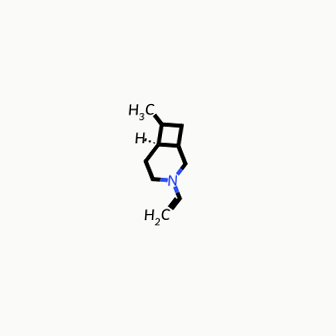 C=CN1CC[C@H]2C(C)CC2C1